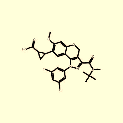 COc1cc2c(cc1C1CC1C(=O)O)-c1c(c(C(=O)N(C)C(C)(C)C)nn1-c1cc(Cl)cc(Cl)c1)CO2